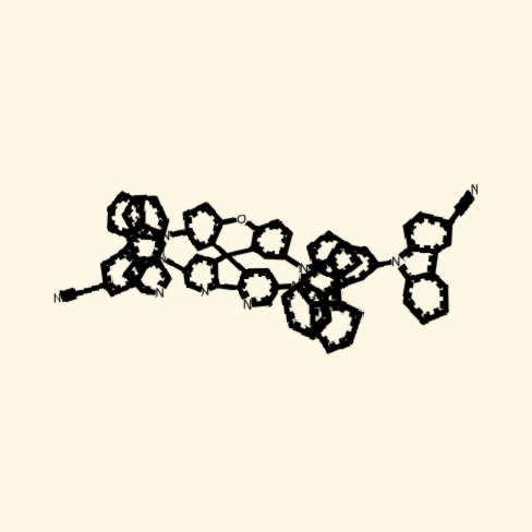 N#Cc1ccc2c(c1)c1ccccc1n2-c1cnc2c(c1)C1(c3cc(-n4c5ccccc5c5cc(-n6c7ccccc7c7cc(C#N)ccc76)ccc54)ccc3Oc3ccc(-n4c5ccccc5c5ccncc54)cc31)c1cc(-n3c4ccccc4c4ccccc43)cnc1-2